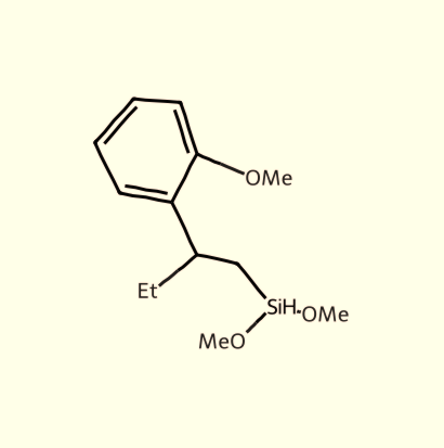 CCC(C[SiH](OC)OC)c1ccccc1OC